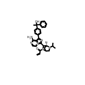 C=CC(=O)N1C2C[C@@H](C1c1nc(-c3ccc(C(C)(O)c4ccccc4)cc3)c3c(N)nccn13)N(C(C)C)C2